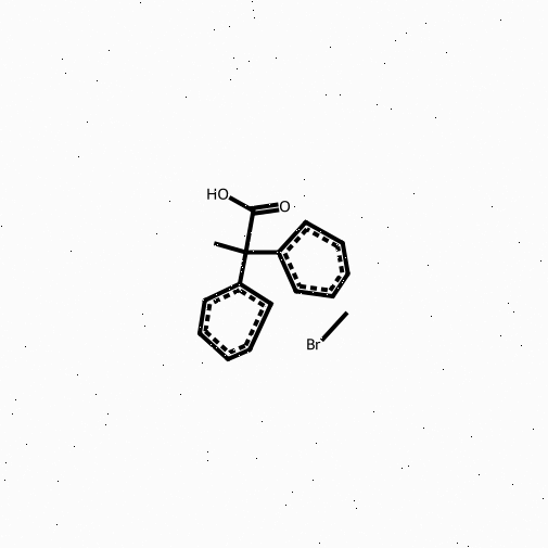 CBr.CC(C(=O)O)(c1ccccc1)c1ccccc1